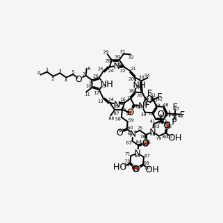 CCCCCCOC(C)c1c(C)c2cc3nc(c4c5[nH]c(cc6nc(cc1[nH]2)C(C)=C6CC)c(C)c5C(=O)N(Cc1ccc(C(F)(F)F)cc1C(F)(F)F)C4=O)C(C)(CCC(=O)N(CC(=O)N(CC(=O)O)CC(=O)O)CC(=O)N(CC(=O)O)CC(=O)O)C3C